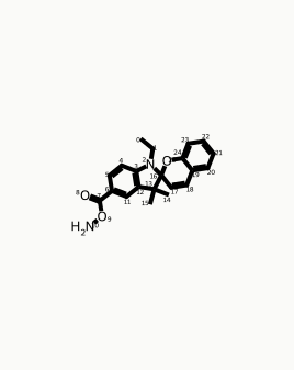 CCN1c2ccc(C(=O)ON)cc2C(C)(C)C12C=Cc1ccccc1O2